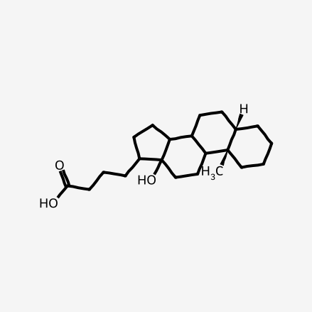 C[C@]12CCCC[C@H]1CCC1C3CCC(CCCC(=O)O)C3(O)CCC12